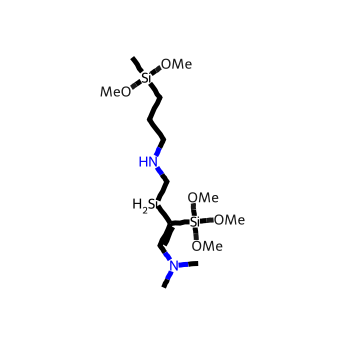 CO[Si](C)(CCCNC[SiH2]C(=CN(C)C)[Si](OC)(OC)OC)OC